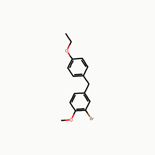 CCOc1ccc(Cc2ccc(OC)c(Br)c2)cc1